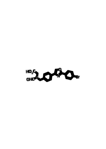 O=CN(CC(=O)O)Cc1ccc(-c2coc(-c3ccc(Br)cc3)n2)cc1